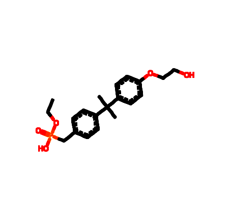 CCOP(=O)(O)Cc1ccc(C(C)(C)c2ccc(OCCO)cc2)cc1